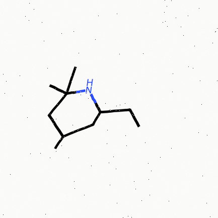 CCC1CC(C)CC(C)(C)N1